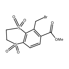 COC(=O)c1ccc2c(c1CBr)S(=O)(=O)CCS2(=O)=O